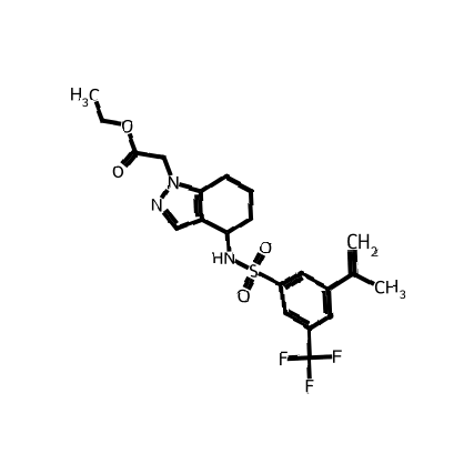 C=C(C)c1cc(C(F)(F)F)cc(S(=O)(=O)NC2CCCc3c2cnn3CC(=O)OCC)c1